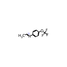 C/C=N/c1ccc(OC(F)(F)F)cc1